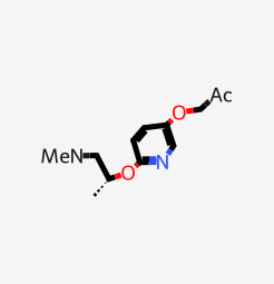 CNC[C@@H](C)Oc1ccc(OCC(C)=O)cn1